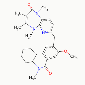 COc1cc(C(=O)N(C)C2CCCCC2)ccc1Cc1ccc2c(n1)N(C)C(C)=C(C)C(=O)N2C